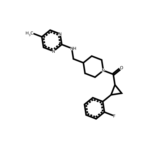 Cc1cnc(NCC2CCN(C(=O)C3CC3c3ccccc3F)CC2)nc1